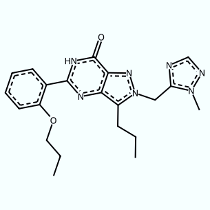 CCCOc1ccccc1-c1nc2c(CCC)n(Cc3ncnn3C)nc2c(=O)[nH]1